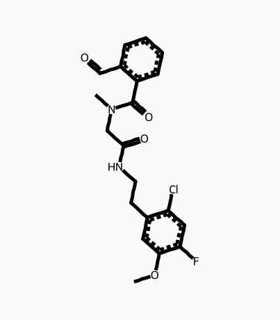 COc1cc(CCNC(=O)CN(C)C(=O)c2ccccc2C=O)c(Cl)cc1F